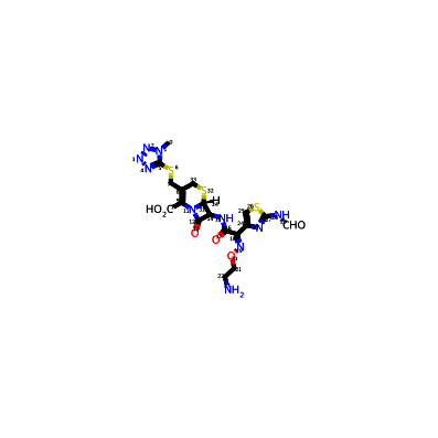 Cn1nnnc1SCC1=C(C(=O)O)N2C(=O)C(NC(=O)/C(=N\OCCN)c3csc(NC=O)n3)[C@H]2SC1